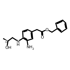 C[C@H](O)CNc1ccc(CC(=O)OCc2ccccc2)cc1N